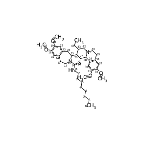 CCCCCCCCNC(=S)N1CCc2cc(OC)c(OC)cc2CC1C1CC2c3cc(OC)c(OC)cc3CCN2CC1CC